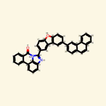 O=c1c2ccccc2c2cccc3nc(-c4ccc5oc6ccc(-c7ccc8ccc9ccccc9c8c7)cc6c5c4)n1c32